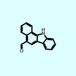 O=Cc1cc2c3ccccc3[nH]c2c2ccccc12